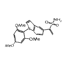 C=C(c1ccc2c(ccn2-c2c(OC)cc(OC)cc2OC)c1)S(N)(=O)=O